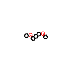 c1ccc(Oc2ccc3cc4c(Oc5ccccc5)cccc4cc3c2)cc1